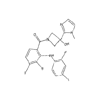 Cn1ccnc1C1(O)CN(C(=O)c2ccc(F)c(F)c2Nc2ccc(I)cc2F)C1